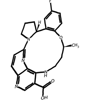 C[C@H]1CCNc2c(C(=O)O)cnc3ccc(nc23)N2CCC[C@@H]2c2cc(F)ccc2O1